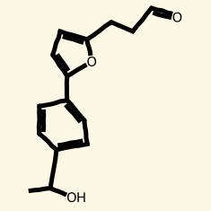 CC(O)c1ccc(-c2ccc(CCC=O)o2)cc1